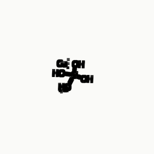 O[Si](O)(O)O.[Ga].[La]